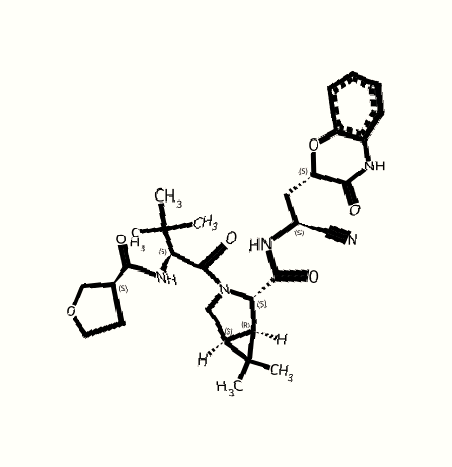 CC(C)(C)[C@H](NC(=O)[C@H]1CCOC1)C(=O)N1C[C@H]2[C@@H]([C@H]1C(=O)N[C@H](C#N)C[C@@H]1Oc3ccccc3NC1=O)C2(C)C